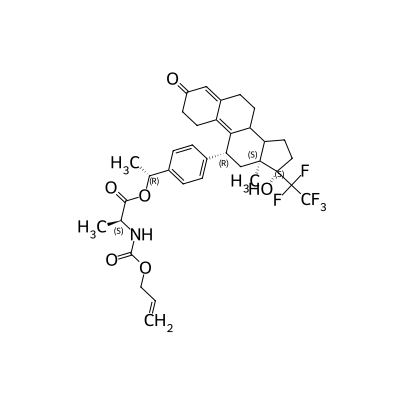 C=CCOC(=O)N[C@@H](C)C(=O)O[C@H](C)c1ccc([C@H]2C[C@@]3(C)C(CC[C@@]3(O)C(F)(F)C(F)(F)F)C3CCC4=CC(=O)CCC4=C32)cc1